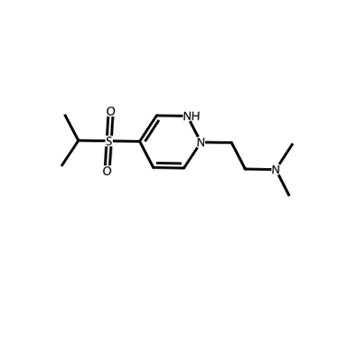 CC(C)S(=O)(=O)C1=CNN(CCN(C)C)C=C1